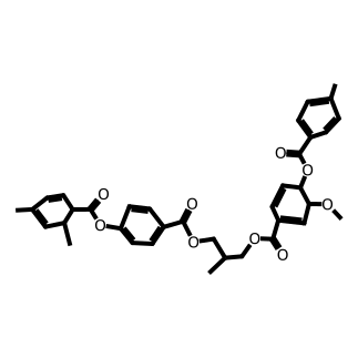 COC1C=C(C(=O)OCC(C)COC(=O)c2ccc(OC(=O)C3C=CC(C)=CC3C)cc2)C=CC1OC(=O)c1ccc(C)cc1